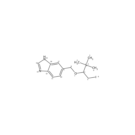 C[Si](C)(C)C(CI)OCc1ccc2nc[nH]c2c1